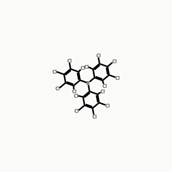 Clc1c(Cl)c(Cl)c(B(c2c(Cl)c(Cl)c(Cl)c(Cl)c2Cl)c2c(Cl)c(Cl)c(Cl)c(Cl)c2Cl)c(Cl)c1Cl